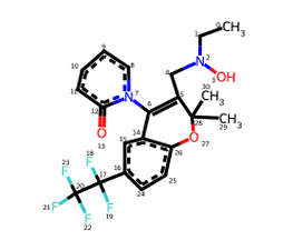 CCN(O)CC1=C(n2ccccc2=O)c2cc(C(F)(F)C(F)(F)F)ccc2OC1(C)C